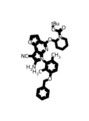 Cc1ccc(OCc2ccccc2)c(C)c1-n1c(N)c(C#N)c2c3occc3c(OC3CCCCN3C(=O)OC(C)(C)C)nc21